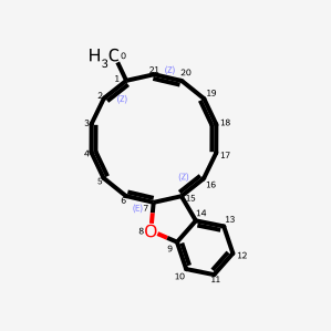 CC1=C/C=C=C/C=c2/oc3ccccc3/c2=C/C=C=C/C=C\1